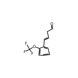 O=[C]C/C=C/c1ccccc1OC(F)(F)F